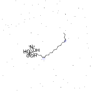 CCC/C=C\CCCCCCCCC/C=C\CCCCC(O)(C[N+](C)(C)C)P(=O)(O)O